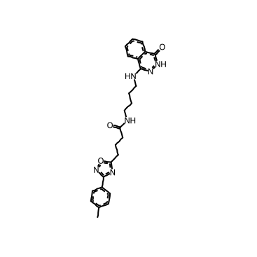 Cc1ccc(-c2noc(CCCC(=O)NCCCCNc3n[nH]c(=O)c4ccccc34)n2)cc1